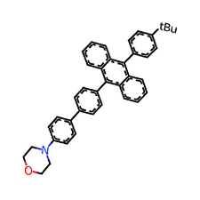 CC(C)(C)c1ccc(-c2c3ccccc3c(-c3ccc(-c4ccc(N5CCOCC5)cc4)cc3)c3ccccc23)cc1